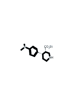 CCOC(=O)[C@@H]1CNCC[C@@H]1c1ccc(N(C)C)cc1